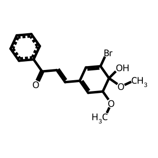 COC1C=C(C=CC(=O)c2ccccc2)C=C(Br)C1(O)OC